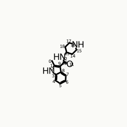 Cc1[nH]c2ccccc2c1C(=O)NC1CCNCC1